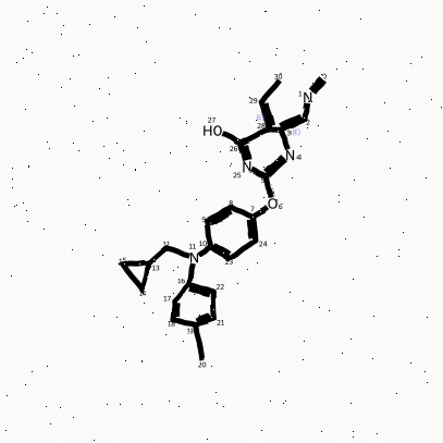 C=N/C=c1/nc(Oc2ccc(N(CC3CC3)c3ccc(C)cc3)cc2)nc(O)/c1=C/C